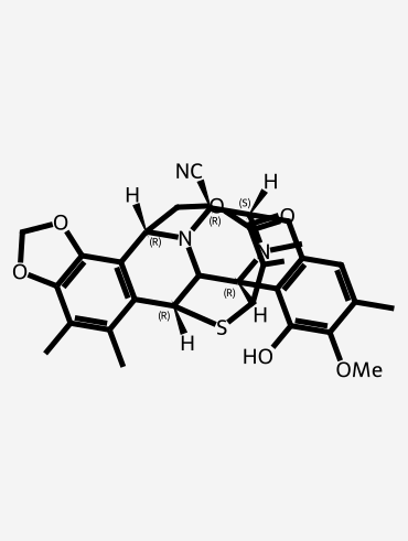 COc1c(C)cc2c(c1O)[C@@H]1C3[C@@H]4SCC(C)C(=O)OC[C@@H](c5c6c(c(C)c(C)c54)OCO6)N3[C@@H](C#N)[C@H](C2)N1C